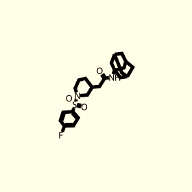 O=C(CC1CCCN(S(=O)(=O)c2ccc(F)cc2)C1)NC12CC3CC(CC(C3)C1)C2